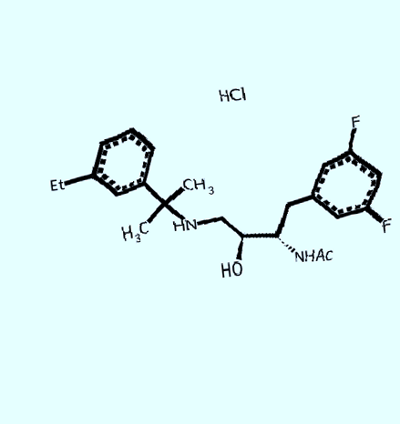 CCc1cccc(C(C)(C)NC[C@H](O)[C@H](Cc2cc(F)cc(F)c2)NC(C)=O)c1.Cl